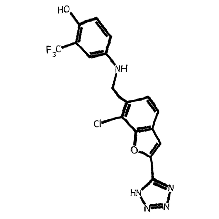 Oc1ccc(NCc2ccc3cc(-c4nnn[nH]4)oc3c2Cl)cc1C(F)(F)F